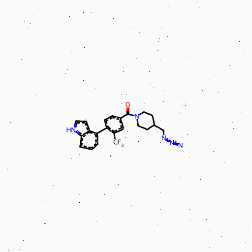 [N-]=[N+]=NCC1CCN(C(=O)c2ccc(-c3cccc4[nH]ccc34)c(C(F)(F)F)c2)CC1